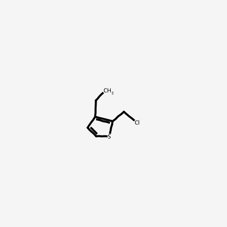 CCc1ccsc1CCl